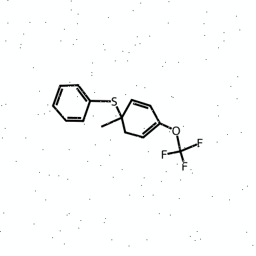 CC1(Sc2ccccc2)C=CC(OC(F)(F)F)=CC1